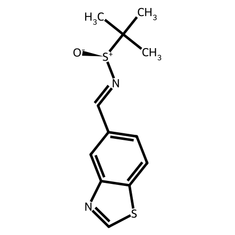 CC(C)(C)[S@+]([O-])/N=C/c1ccc2scnc2c1